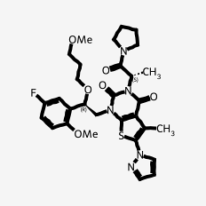 COCCCO[C@@H](Cn1c(=O)n([C@@H](C)C(=O)N2CCCC2)c(=O)c2c(C)c(-n3cccn3)sc21)c1cc(F)ccc1OC